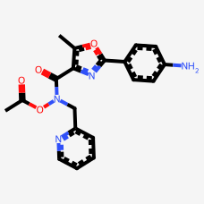 CC(=O)ON(Cc1ccccn1)C(=O)c1nc(-c2ccc(N)cc2)oc1C